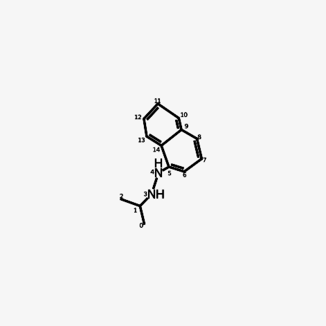 CC(C)NNc1cccc2ccccc12